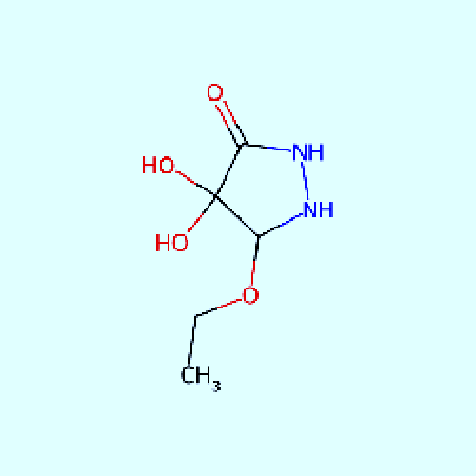 CCOC1NNC(=O)C1(O)O